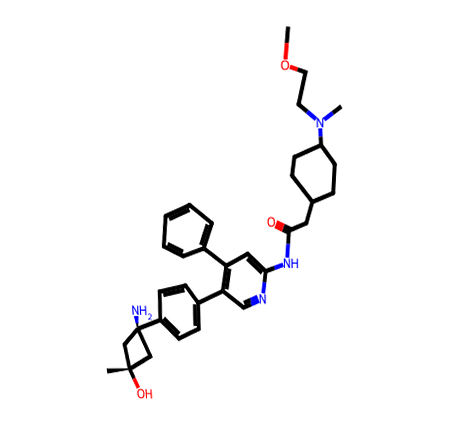 COCCN(C)C1CCC(CC(=O)Nc2cc(-c3ccccc3)c(-c3ccc([C@]4(N)C[C@](C)(O)C4)cc3)cn2)CC1